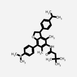 Cc1c(NC(=O)CC(C)(C)C)c(C)c2c(c1-c1ccc(N(C)C)cc1)OCC2c1ccc(C(C)C)cc1